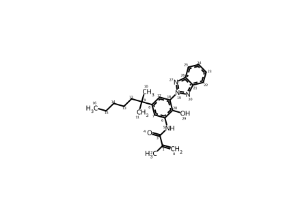 C=C(C)C(=O)Nc1cc(C(C)(C)CCCCC)cc(-n2nc3ccccc3n2)c1O